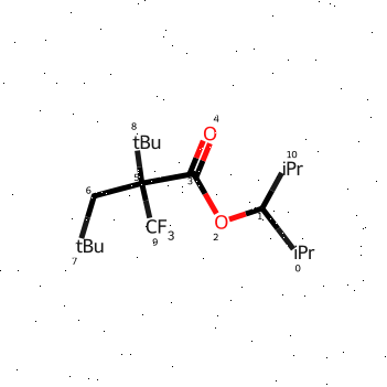 CC(C)C(OC(=O)C(CC(C)(C)C)(C(C)(C)C)C(F)(F)F)C(C)C